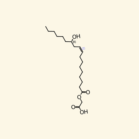 CCCCCC[C@@H](O)C/C=C\CCCCCCCC(=O)OCC(=O)O